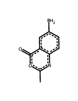 Bc1ccc2nc(C)oc(=O)c2c1